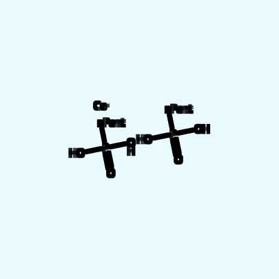 CCCCCP(=O)(O)O.CCCCCP(=O)(O)O.[Co]